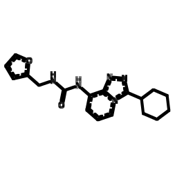 O=C(NCc1ccco1)Nc1cccn2c(C3CCCCC3)nnc12